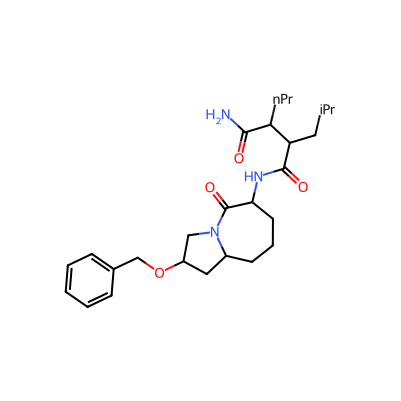 CCCC(C(N)=O)C(CC(C)C)C(=O)NC1CCCC2CC(OCc3ccccc3)CN2C1=O